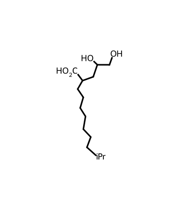 CC(C)CCCCCCCC(CC(O)CO)C(=O)O